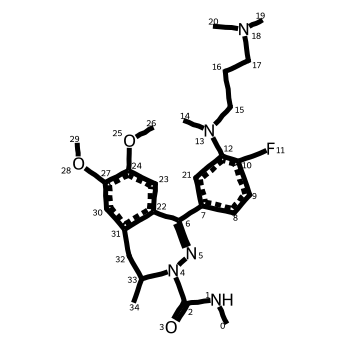 CNC(=O)N1N=C(c2ccc(F)c(N(C)CCCN(C)C)c2)c2cc(OC)c(OC)cc2CC1C